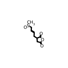 C[Si](=O)C/C=C/CC1CC(=O)OC1=O